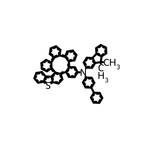 CC1(C)c2ccccc2-c2ccc(N(c3ccc(-c4ccccc4)cc3)c3ccc4c(c3)c3ccccc3c3ccccc3c3ccccc3c3c4ccc4sc5ccccc5c43)cc21